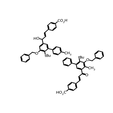 Cc1c(C(=O)C=Cc2ccc(C(=O)O)cc2)cc(-c2ccccc2)c(C(C)(C)C)c1OCc1ccccc1.Cc1ccc(-c2cc(C(O)C=Cc3ccc(C(=O)O)cc3)cc(OCc3ccccc3)c2C(C)(C)C)cc1